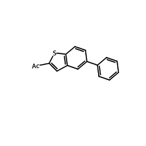 CC(=O)c1cc2cc(-c3ccccc3)ccc2s1